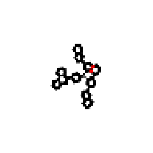 c1ccc(-c2ccc(-c3ccc4ccccc4c3)cc2N(c2ccc(-c3cc4ccccc4c4ccccc34)cc2)c2cccc(-c3ccc4ccccc4c3)c2)cc1